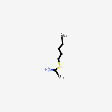 CCCCCCCCSC(C)N